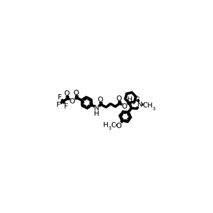 COc1ccc(C(CN(C)C)C2(OC(=O)CCCC(=O)Nc3ccc(C(=O)OC(=O)C(F)(F)F)cc3)CCCCC2)cc1